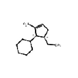 CC(=O)OC[C@@H]1CC=C([N+](=O)[O-])[C@@H]1C1CCCCC1